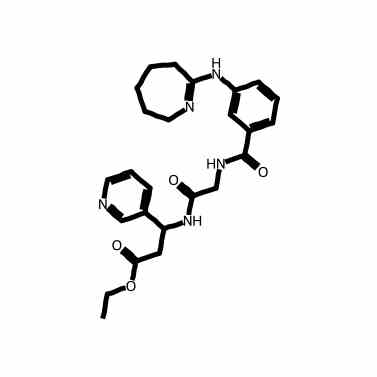 CCOC(=O)CC(NC(=O)CNC(=O)c1cccc(NC2=NCCCCC2)c1)c1cccnc1